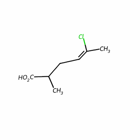 C/C(Cl)=C/CC(C)C(=O)O